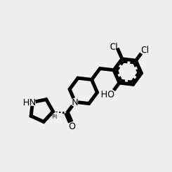 O=C([C@@H]1CCNC1)N1CCC(Cc2c(O)ccc(Cl)c2Cl)CC1